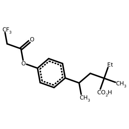 CCC(C)(CC(C)c1ccc(OC(=O)CC(F)(F)F)cc1)C(=O)O